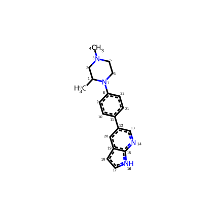 CC1CN(C)CCN1c1ccc(-c2cnc3[nH]ccc3c2)cc1